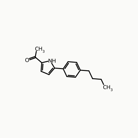 CCCCc1ccc(-c2ccc(C(C)=O)[nH]2)cc1